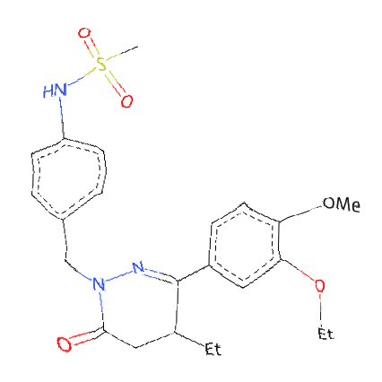 CCOc1cc(C2=NN(Cc3ccc(NS(C)(=O)=O)cc3)C(=O)CC2CC)ccc1OC